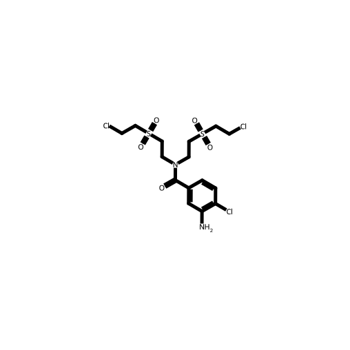 Nc1cc(C(=O)N(CCS(=O)(=O)CCCl)CCS(=O)(=O)CCCl)ccc1Cl